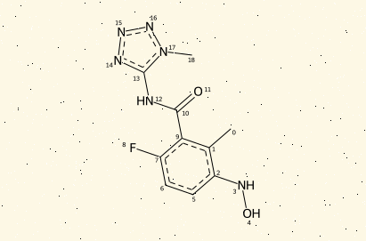 Cc1c(NO)ccc(F)c1C(=O)Nc1nnnn1C